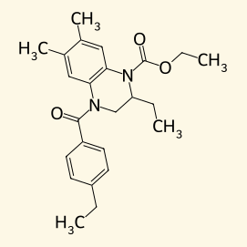 CCOC(=O)N1c2cc(C)c(C)cc2N(C(=O)c2ccc(CC)cc2)CC1CC